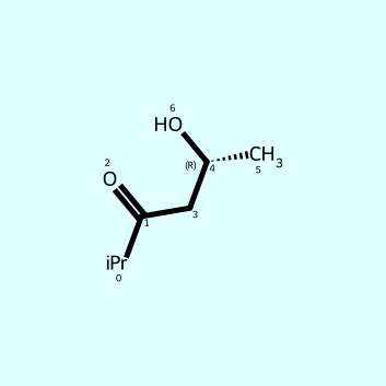 CC(C)C(=O)C[C@@H](C)O